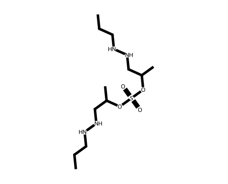 CCCNNCC(C)OS(=O)(=O)OC(C)CNNCCC